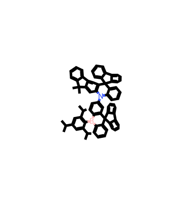 CC(C)c1cc(C(C)C)c(B2c3ccccc3C3(c4cc(N5c6ccccc6C6(c7ccccc7-c7ccccc76)c6cc7c(cc65)C(C)(C)c5ccccc5-7)ccc42)c2ccccc2-c2ccccc23)c(C(C)C)c1